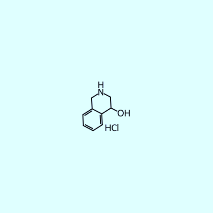 Cl.OC1CNCc2ccccc21